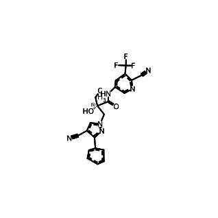 CC[C@](O)(Cn1cc(C#N)c(-c2ccccc2)n1)C(=O)Nc1cnc(C#N)c(C(F)(F)F)c1